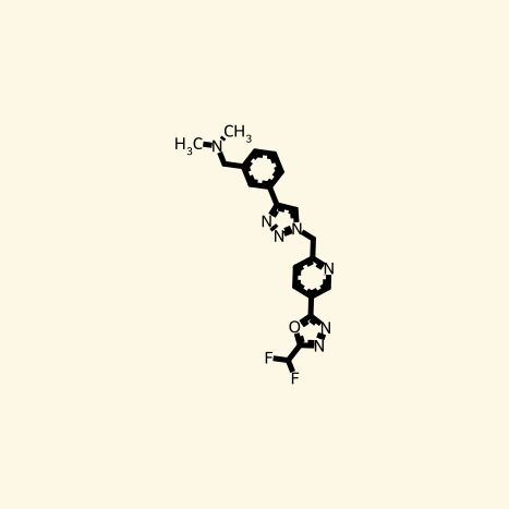 CN(C)Cc1cccc(-c2cn(Cc3ccc(-c4nnc(C(F)F)o4)cn3)nn2)c1